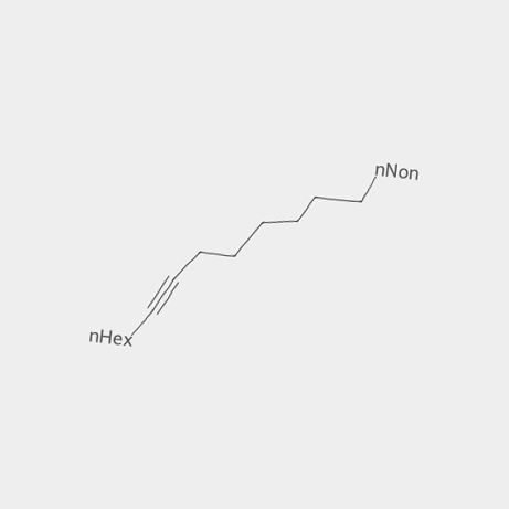 [CH2]CCCCCC#CCCCCCCCCCCCCCC[CH2]